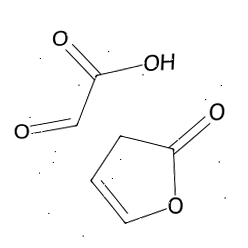 O=C1CC=CO1.O=CC(=O)O